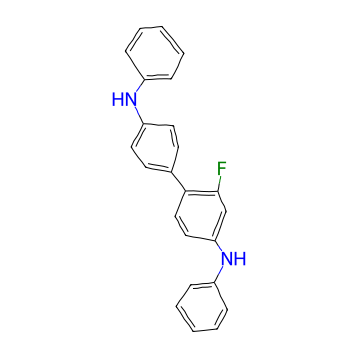 Fc1cc(Nc2ccccc2)ccc1-c1ccc(Nc2ccccc2)cc1